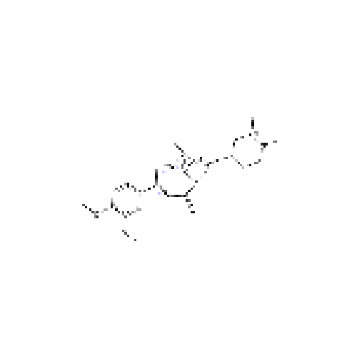 COc1ccc(C2=C\C(=O)N3C=C(N4CCN(C)[C@H](C)C4)C=C(C)\C3=C/C=C/2)cc1OC